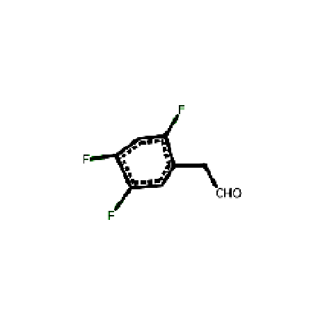 O=CCc1cc(F)c(F)cc1F